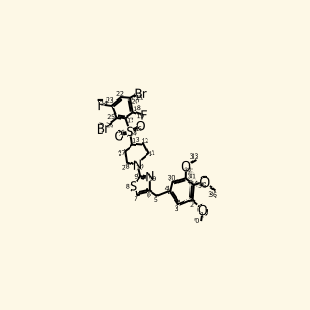 COc1cc(Cc2csc(N3CCC(S(=O)(=O)c4c(F)c(Br)cc(F)c4Br)CC3)n2)cc(OC)c1OC